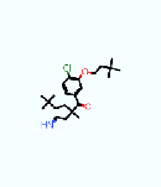 CC(C)(C)CCOc1cc(C(=O)C(C)(CC=N)CCC(C)(C)C)ccc1Cl